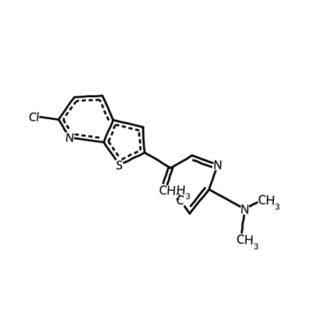 C=C(/C=N\C(=C/C)N(C)C)c1cc2ccc(Cl)nc2s1